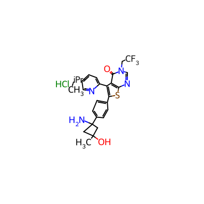 CC1(O)CC(N)(c2ccc(-c3sc4ncn(CC(F)(F)F)c(=O)c4c3-c3ccccn3)cc2)C1.C[C](C)C.Cl